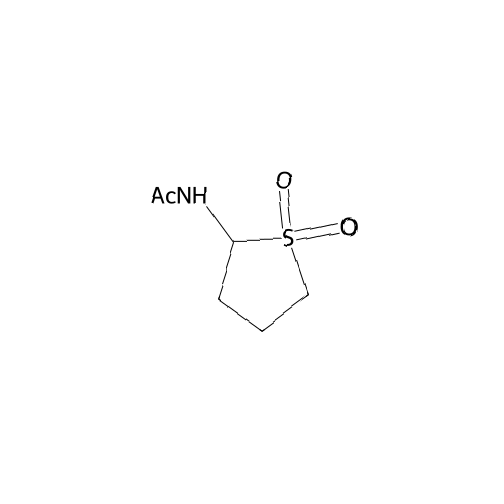 CC(=O)NC1CCCS1(=O)=O